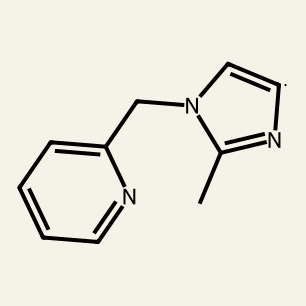 Cc1n[c]cn1Cc1ccccn1